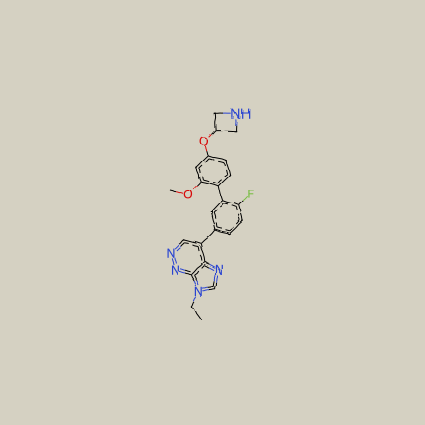 CCn1cnc2c(-c3ccc(F)c(-c4ccc(OC5CNC5)cc4OC)c3)cnnc21